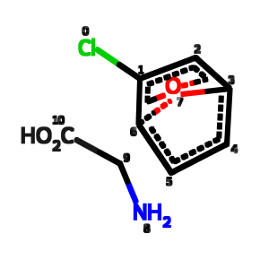 Clc1cc2ccc1o2.NCC(=O)O